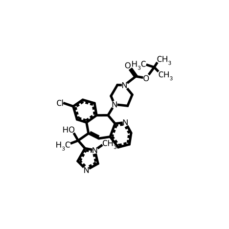 Cn1cncc1C(C)(O)C1=Cc2cccnc2C(N2CCN(C(=O)OC(C)(C)C)CC2)c2ccc(Cl)cc21